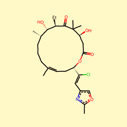 CC[C@H]1C(=O)C(C)(C)[C@@H](O)CC(=O)O[C@H](C(Cl)=Cc2coc(C)n2)C/C=C(/C)CCC[C@H](C)[C@@H]1O